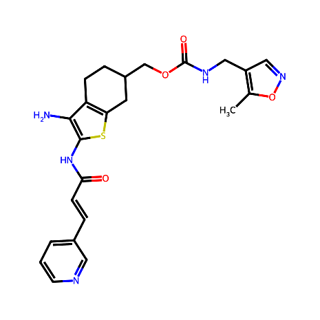 Cc1oncc1CNC(=O)OCC1CCc2c(sc(NC(=O)/C=C/c3cccnc3)c2N)C1